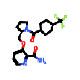 NC(=O)c1ncccc1OC[C@H]1CCCN1C(=O)C1CCC(C(F)(F)F)CC1